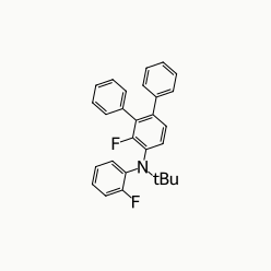 CC(C)(C)N(c1ccccc1F)c1ccc(-c2ccccc2)c(-c2ccccc2)c1F